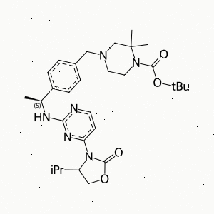 CC(C)C1COC(=O)N1c1ccnc(N[C@@H](C)c2ccc(CN3CCN(C(=O)OC(C)(C)C)C(C)(C)C3)cc2)n1